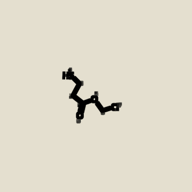 O=C(CCS)OCCl